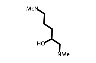 CNCCCC(O)CNC